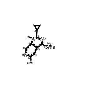 CSc1nc(C2CC2)[n+](C)c2cnc(Br)cc12.[I-]